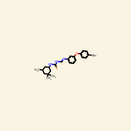 CC1CC(NC(=S)NC=Nc2cccc(Oc3ccc(C(C)(C)C)cc3)c2)CC(C)(C)C1